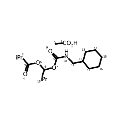 CC(=O)O.CC(C)C(=O)OC(OC(=O)NCC1CCCCC1)C(C)C